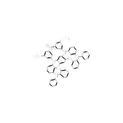 CC(C)(C)c1cc(N2c3cc4c(cc3B3c5ccccc5N(c5ccccc5)c5cccc2c53)B2c3ccccc3N(c3ccccc3)c3cccc(c32)N4c2cc(C(C)(C)C)cc(C(C)(C)C)c2)cc(C(C)(C)C)c1